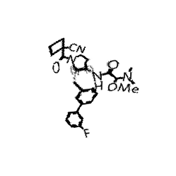 COC(C(=O)N[C@H]1CCN(C(=O)C2(C#N)CCC2)[C@H]1Cc1cccc(-c2cccc(F)c2)c1)N(C)C